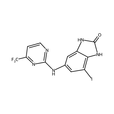 O=c1[nH]c2cc(Nc3nccc(C(F)(F)F)n3)cc(I)c2[nH]1